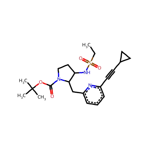 CCS(=O)(=O)NC1CCN(C(=O)OC(C)(C)C)C1Cc1cccc(C#CC2CC2)n1